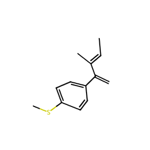 C=C(/C(C)=C/C)c1ccc(SC)cc1